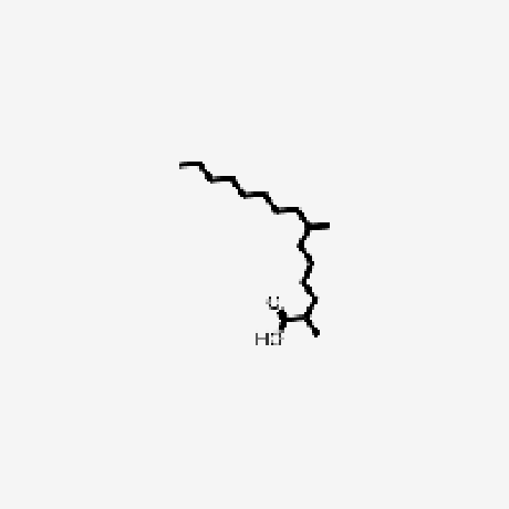 CCCCCCCCC(C)CCCCC(C)C(=O)O